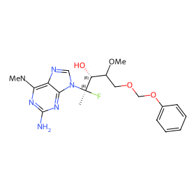 CNc1nc(N)nc2c1ncn2[C@](C)(F)[C@H](O)C(COCOc1ccccc1)OC